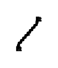 CCC#CCCCCCCC[CH]CCCCCCCCC#CCC